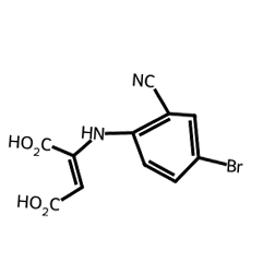 N#Cc1cc(Br)ccc1NC(=CC(=O)O)C(=O)O